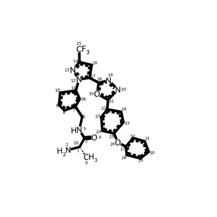 C[C@H](N)C(=O)NCc1cccc(-n2nc(C(F)(F)F)cc2-c2nnc(-c3ccc(Oc4ccccc4)cc3)o2)c1